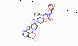 CCCC[C@H]1CN(CC2=COC=CO2)C(=O)OC12CCN(C1(C)CCN(C(=O)c3c(C)ncnc3C)CC1)CC2